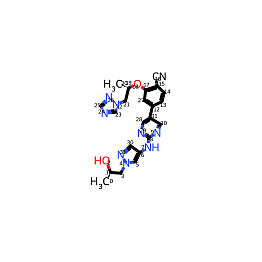 C[C@H](O)Cn1cc(Nc2ncc(-c3ccc(C#N)c(O[C@@H](C)Cn4cncn4)c3)cn2)cn1